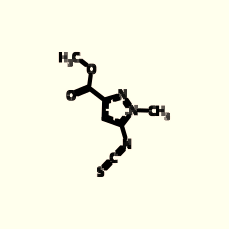 COC(=O)c1cc(N=C=S)n(C)n1